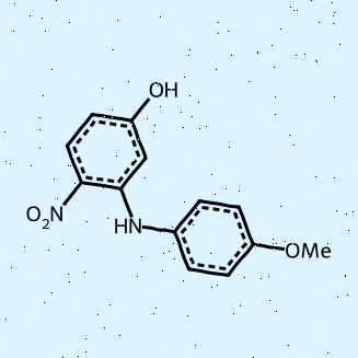 COc1ccc(Nc2cc(O)ccc2[N+](=O)[O-])cc1